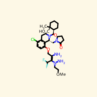 COCCN(N)/C(=C(\N)COc1ccc(Cl)c2c1[C@@H](CN1CCCC1=O)N(C(=O)[C@@H]1CCCC[C@]1(C)C(=O)O)CC2)C(F)F